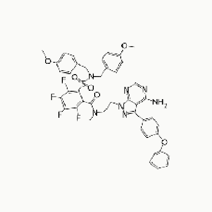 COc1ccc(CN(Cc2ccc(OC)cc2)S(=O)(=O)c2c(F)c(F)c(F)c(F)c2C(=O)N(C)CCn2nc(-c3ccc(Oc4ccccc4)cc3)c3c(N)ncnc32)cc1